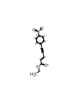 CCOC(=O)C=CC#Cc1ccc([N+](=O)[O-])cc1